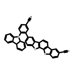 N#Cc1ccc(N2c3ccccc3C3C=CC=CC32)c(-c2ccc3oc4c(ccc5c6cc(C#N)ccc6oc54)c3c2)c1